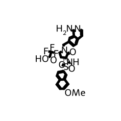 COc1ccc2ccc(S(=O)(=O)N[C@@H]3CCN(Cc4ccc5ccnc(N)c5c4)C3=O)cc2c1.O=C(O)C(F)(F)F